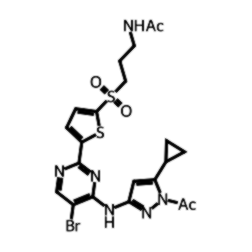 CC(=O)NCCCS(=O)(=O)c1ccc(-c2ncc(Br)c(Nc3cc(C4CC4)n(C(C)=O)n3)n2)s1